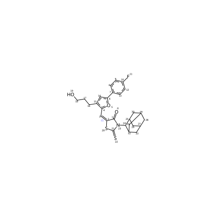 O=C1/C(=C\c2oc(-c3ccc(F)cc3)cc2CCCO)SC(=S)N1C1C2CC3CC(C2)CC1C3